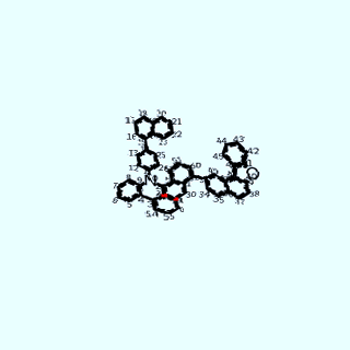 c1ccc(-c2ccccc2N(c2ccc(-c3cccc4ccccc34)cc2)c2cccc3c(-c4ccc5ccc6oc7ccccc7c6c5c4)cccc23)cc1